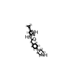 O=C(Cc1ccc(N2CCNCC2)cc1)Nc1cc(C2CC2)[nH]n1